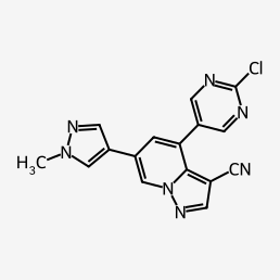 Cn1cc(-c2cc(-c3cnc(Cl)nc3)c3c(C#N)cnn3c2)cn1